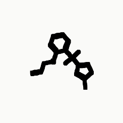 C=CCOc1ccccc1C(C)(C)C1=CCC(C)=C1